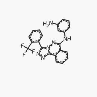 Nc1cccc(Nc2nn3c(-c4ccccc4C(F)(F)F)nnc3c3ccccc23)c1